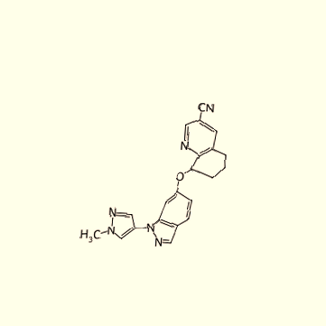 Cn1cc(-n2ncc3ccc(OC4CCCc5cc(C#N)cnc54)cc32)cn1